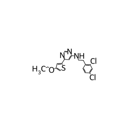 CCOc1csc(-c2cc(NCCc3ccc(Cl)cc3Cl)ncn2)c1